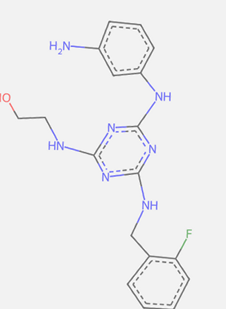 Nc1cccc(Nc2nc(NCCO)nc(NCc3ccccc3F)n2)c1